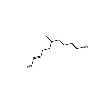 CCCC=CCCC(C)CCC=CCCC